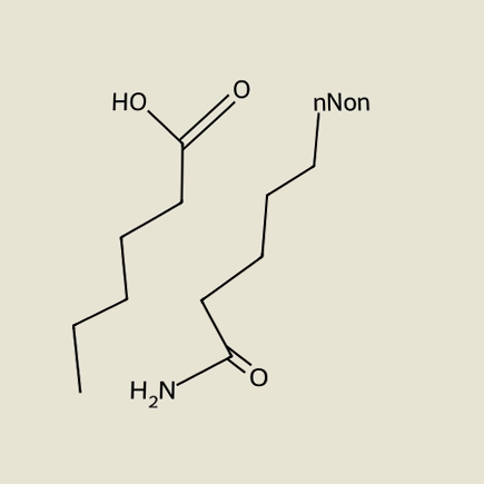 CCCCCC(=O)O.CCCCCCCCCCCCCC(N)=O